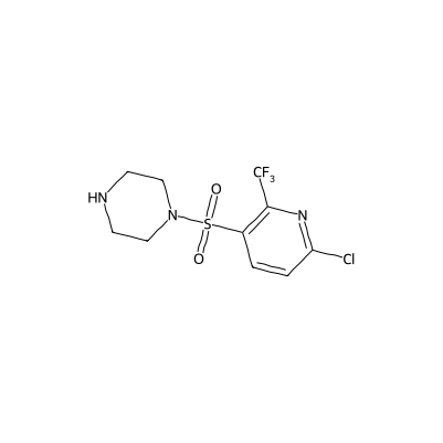 O=S(=O)(c1ccc(Cl)nc1C(F)(F)F)N1CCNCC1